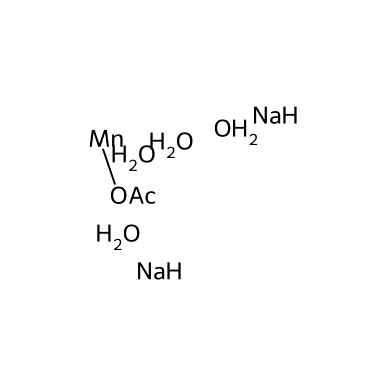 CC(=O)[O][Mn].O.O.O.O.[NaH].[NaH]